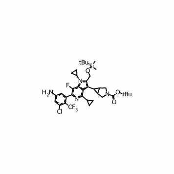 CC(C)(C)OC(=O)N1CC2C(C1)C2c1c(CO[Si](C)(C)C(C)(C)C)n(C2CC2)c2c(F)c(-c3cc(N)cc(Cl)c3C(F)(F)F)nc(C3CC3)c12